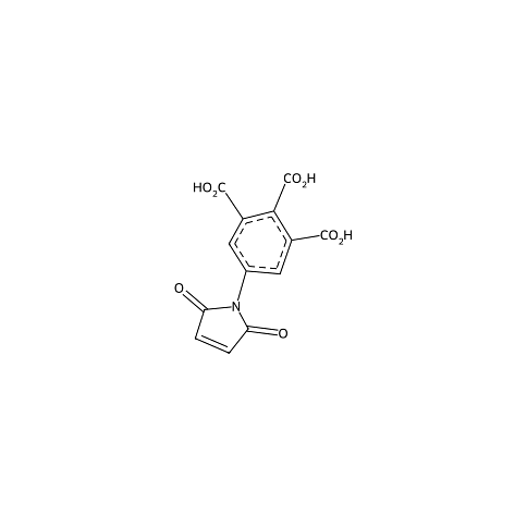 O=C(O)c1cc(N2C(=O)C=CC2=O)cc(C(=O)O)c1C(=O)O